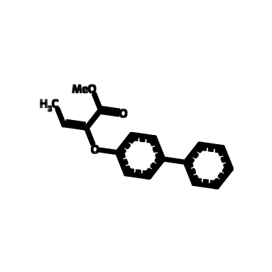 CC=C(Oc1ccc(-c2ccccc2)cc1)C(=O)OC